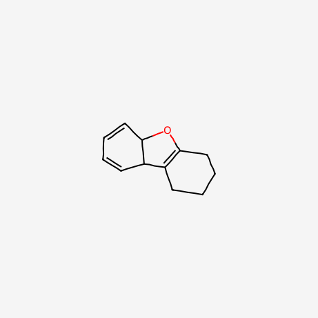 C1=CC2OC3=C(CCCC3)C2C=C1